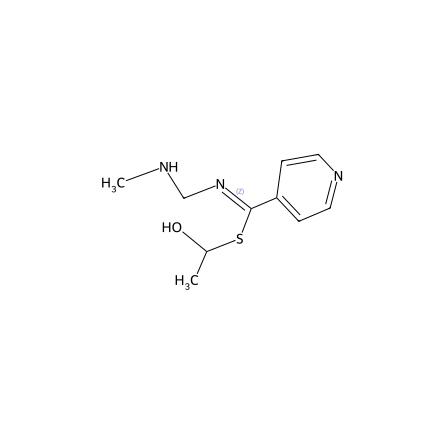 CNC/N=C(\SC(C)O)c1ccncc1